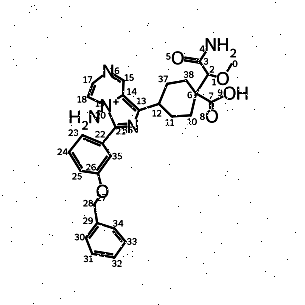 COC(C(N)=O)C1(C(=O)O)CCC(C2=C3C=NC=C[N+]3(N)C(c3cccc(OCc4ccccc4)c3)=N2)CC1